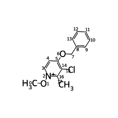 CO[n+]1ccc(OCc2ccccc2)c(Cl)c1C